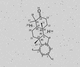 Cc1cc(C)c2c(c1)C[C@@H]1[C@@]3(C)CCC(=O)C(C)(C)[C@@H]3CC[C@@]21C